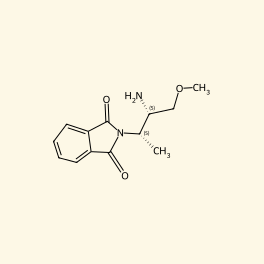 COC[C@@H](N)[C@H](C)N1C(=O)c2ccccc2C1=O